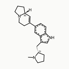 CN1CCC[C@H]1Cc1c[nH]c2ccc(C3=C[C@H]4CCCN4CC3)cc12